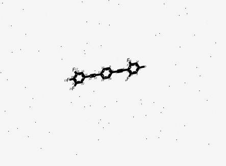 Cc1cc(F)c(C#Cc2ccc(C#Cc3cc(F)c(F)c(F)c3)cc2)c(F)c1